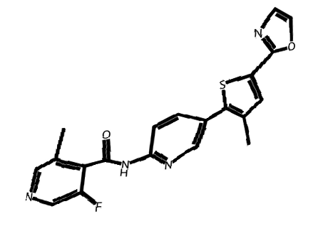 Cc1cc(-c2ncco2)sc1-c1ccc(NC(=O)c2c(C)cncc2F)nc1